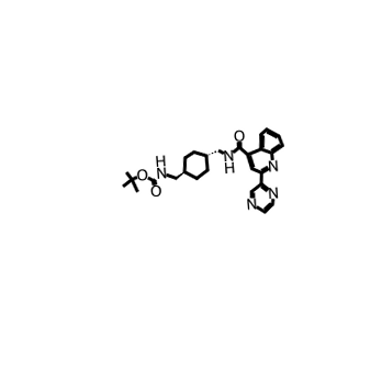 CC(C)(C)OC(=O)NC[C@H]1CC[C@H](CNC(=O)c2cc(-c3cnccn3)nc3ccccc23)CC1